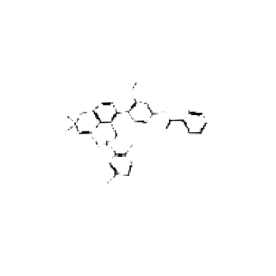 COc1cc(OC(=O)c2ccccc2F)ccc1-c1ccc2c(c1CNc1cc(F)ccc1C)C(C)=CC(C)(C)N2